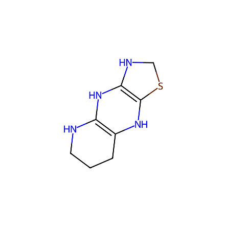 C1CNC2=C(C1)NC1=C(NCS1)N2